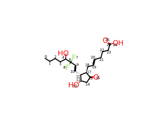 CCCCC(O)C(F)(F)C=C[C@H]1[C@H](O)CC(=O)[C@@H]1CC=CCCCC(=O)O